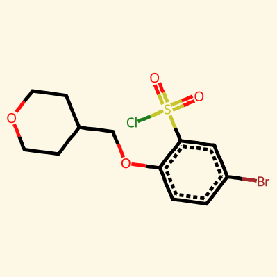 O=S(=O)(Cl)c1cc(Br)ccc1OCC1CCOCC1